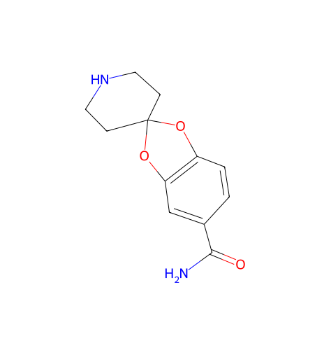 NC(=O)c1ccc2c(c1)OC1(CCNCC1)O2